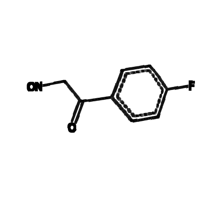 O=NCC(=O)c1ccc(F)cc1